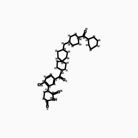 O=C1CCN(c2cc(C(=O)N3CCC4(CCC(CN5CCN(C(=O)C6CCCCC6)CC5)CC4)CC3)ccc2Cl)C(=O)N1